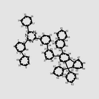 c1ccc(-c2cccc(-c3nc(-c4ccccc4)nc(-c4cccc(-c5cccc(-c6cc7c(cc6-c6ccc8ccccc8c6)-c6ccccc6C7(c6ccccc6)c6ccccc6)c5)c4)n3)c2)cc1